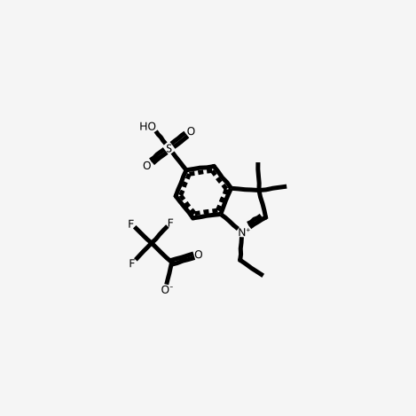 CC[N+]1=CC(C)(C)c2cc(S(=O)(=O)O)ccc21.O=C([O-])C(F)(F)F